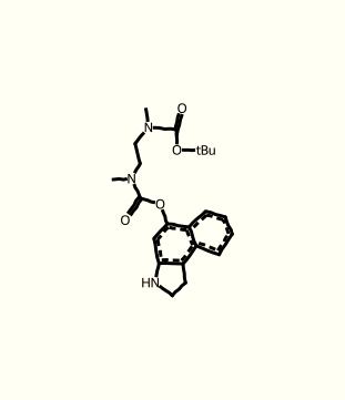 CN(CCN(C)C(=O)OC(C)(C)C)C(=O)Oc1cc2c(c3ccccc13)CCN2